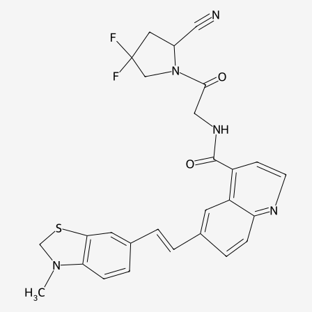 CN1CSc2cc(C=Cc3ccc4nccc(C(=O)NCC(=O)N5CC(F)(F)CC5C#N)c4c3)ccc21